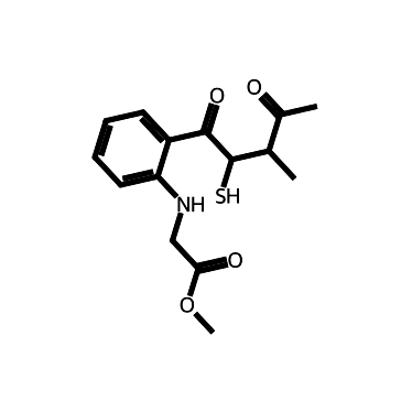 COC(=O)CNc1ccccc1C(=O)C(S)C(C)C(C)=O